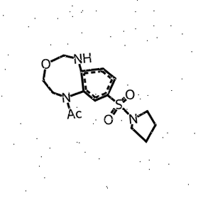 CC(=O)N1CCOCNc2ccc(S(=O)(=O)N3CCCC3)cc21